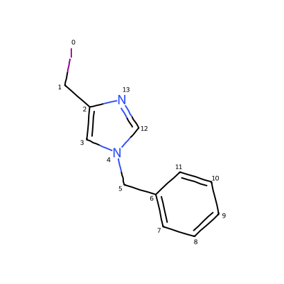 ICc1cn(Cc2ccccc2)cn1